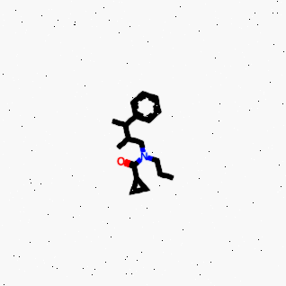 CCCN(CC(C)C(C)c1ccccc1)C(=O)C1CC1